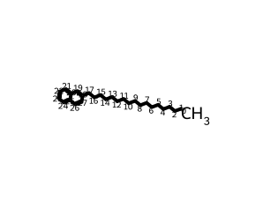 CCCCCCCCCCCCCCCCCCc1[c]c2ccccc2cc1